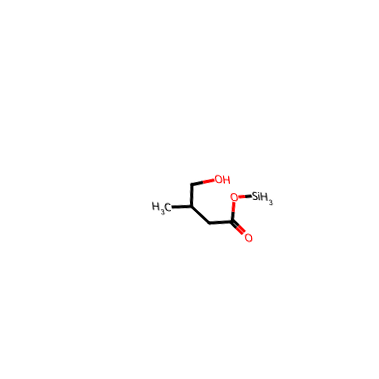 CC(CO)CC(=O)O[SiH3]